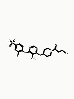 Cc1c(Oc2ccc(S(C)(=O)=O)cc2F)ncnc1OC1CCN(C(=O)CCC(C)C)CC1